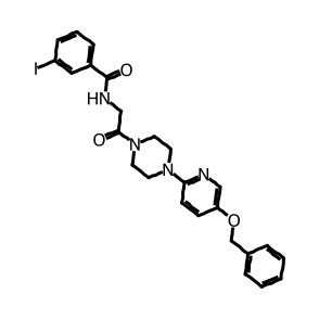 O=C(NCC(=O)N1CCN(c2ccc(OCc3ccccc3)cn2)CC1)c1cccc(I)c1